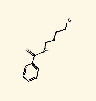 CCCCCCCCCCCCNC(=O)c1cc[c]cc1